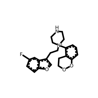 Fc1ccc2occ(CC[N+]3(c4cccc5c4CCOO5)CCNCC3)c2c1